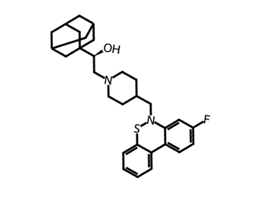 O[C@@H](CN1CCC(CN2Sc3ccccc3-c3ccc(F)cc32)CC1)C12CC3CC(CC(C3)C1)C2